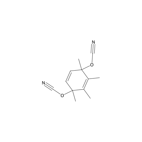 CC1=C(C)C(C)(OC#N)C=CC1(C)OC#N